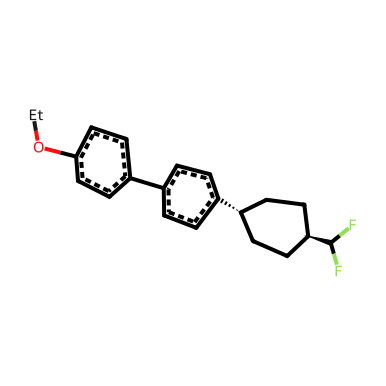 CCOc1ccc(-c2ccc([C@H]3CC[C@H](C(F)F)CC3)cc2)cc1